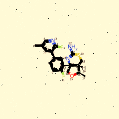 Cc1cnc(F)c(-c2ccc(F)c([C@]34CO[C@H](C)[C@H]3CSC(N)=N4)c2)c1